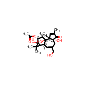 CC(=O)O[C@@H]1[C@@H](C)[C@@]2(O)[C@@H](C=C(CO)C[C@]3(O)C(=O)C(C)=C[C@@H]23)C2C(C)(C)[C@@]21O